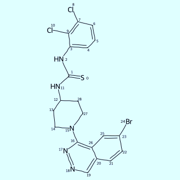 S=C(Nc1cccc(Cl)c1Cl)NC1CCN(c2nncc3ccc(Br)cc23)CC1